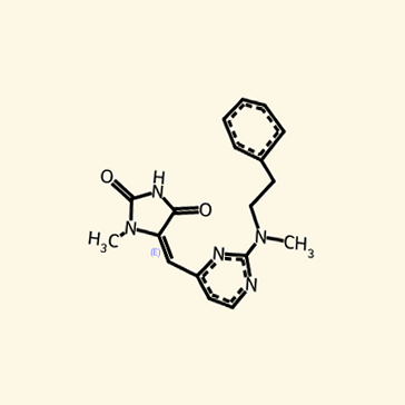 CN1C(=O)NC(=O)/C1=C\c1ccnc(N(C)CCc2ccccc2)n1